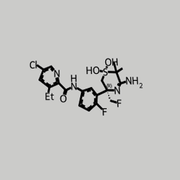 CCc1cc(Cl)cnc1C(=O)Nc1ccc(F)c([C@@]2(CF)CS(O)(O)C(C)(C)C(N)=N2)c1